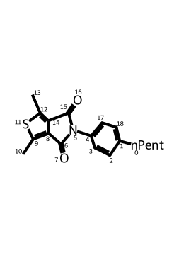 CCCCCc1ccc(N2C(=O)c3c(C)sc(C)c3C2=O)cc1